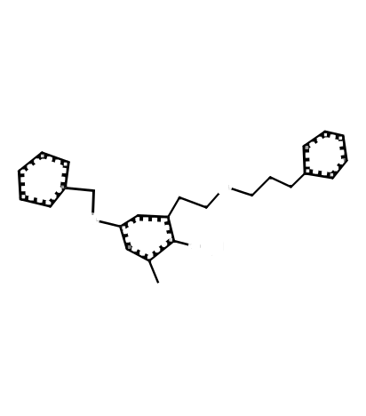 Cc1cc(OCc2ccccc2)cc(CCOCCCc2ccccc2)c1C(=O)O